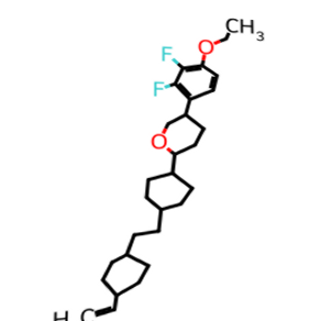 C=CC1CCC(CCC2CCC(C3CCC(c4ccc(OCC)c(F)c4F)CO3)CC2)CC1